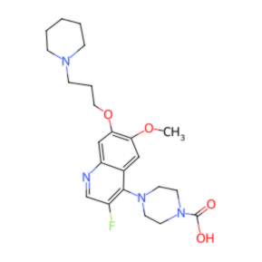 COc1cc2c(N3CCN(C(=O)O)CC3)c(F)cnc2cc1OCCCN1CCCCC1